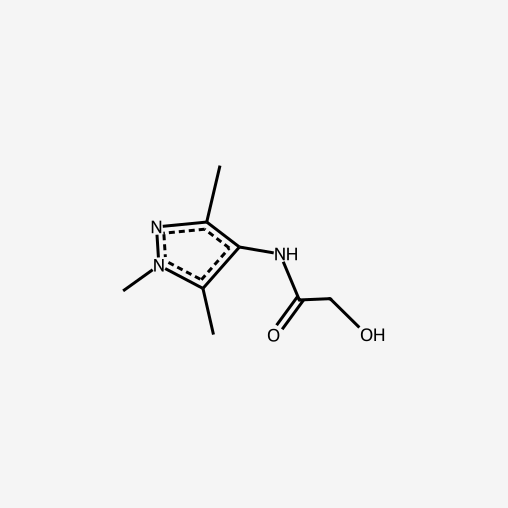 Cc1nn(C)c(C)c1NC(=O)CO